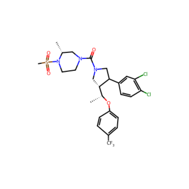 C[C@@H]1CN(C(=O)N2CC(c3ccc(Cl)c(Cl)c3)[C@H]([C@@H](C)Oc3ccc(C(F)(F)F)cc3)C2)CCN1S(C)(=O)=O